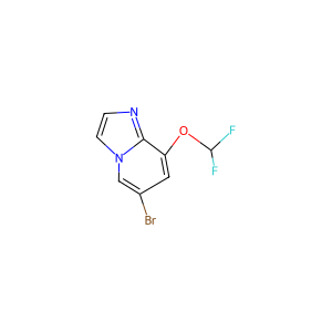 FC(F)Oc1cc(Br)cn2ccnc12